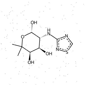 CC1(C)O[C@H](O)[C@H](Nc2ncsn2)[C@@H](O)[C@H]1O